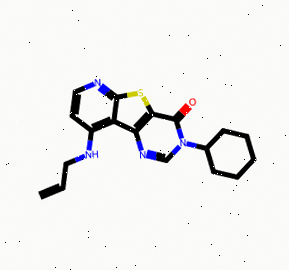 C=CCNc1ccnc2sc3c(=O)n(C4CCCCC4)cnc3c12